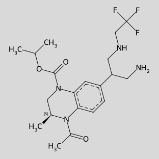 CC(=O)N1c2ccc(C(CN)CNCC(F)(F)F)cc2N(C(=O)OC(C)C)C[C@@H]1C